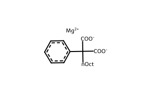 CCCCCCCCC(C(=O)[O-])(C(=O)[O-])c1ccccc1.[Mg+2]